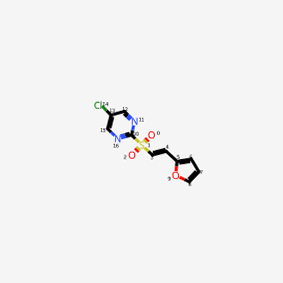 O=S(=O)(C=Cc1ccco1)c1ncc(Cl)cn1